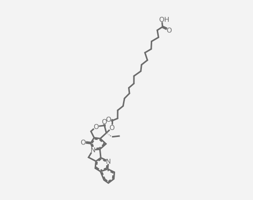 CC[C@@]1(OC(=O)CCCCCCCCCCCCCCCCC(=O)O)C(=O)OCc2c1cc1n(c2=O)Cc2cc3ccccc3nc2-1